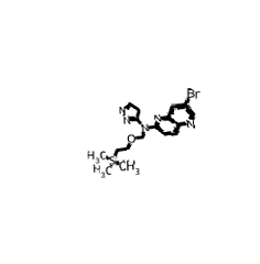 C[Si](C)(C)CCOCN(C1=NN=CC1)c1ccc2ncc(Br)cc2n1